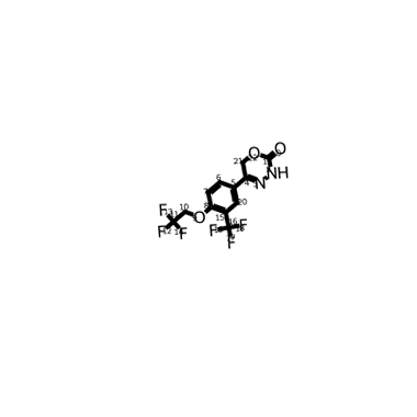 O=C1NN=C(c2ccc(OCC(F)(F)F)c(C(F)(F)F)c2)CO1